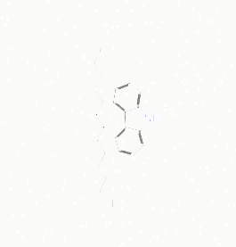 CCCCCCCCCCCCCC.c1ccc2c(c1)[nH]c1ccccc12